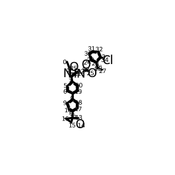 Cc1nc(-c2ccc(-c3ccc(C4(C=O)CC4)cc3)cc2)c(NC(=O)O[C@H](C)c2ccccc2Cl)o1